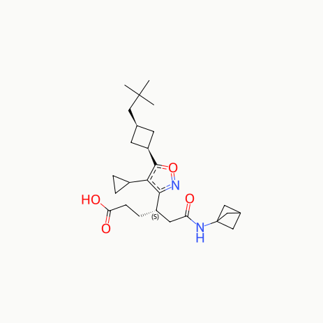 CC(C)(C)C[C@H]1C[C@@H](c2onc([C@@H](CCC(=O)O)CC(=O)NC34CC(C3)C4)c2C2CC2)C1